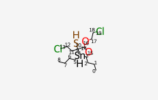 CCC[CH2][SnH]([CH2]CCC)[C](S)(CCCl)C(=O)OCCCl